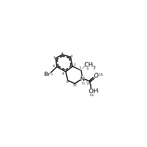 C[C@H]1c2cccc(Br)c2CCN1C(=O)O